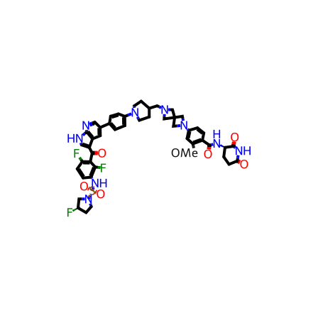 COc1cc(N2CC3(CN(CC4CCN(c5ccc(-c6cnc7[nH]cc(C(=O)c8c(F)ccc(NS(=O)(=O)N9CC[C@@H](F)C9)c8F)c7c6)cc5)CC4)C3)C2)ccc1C(=O)N[C@@H]1CCC(=O)NC1=O